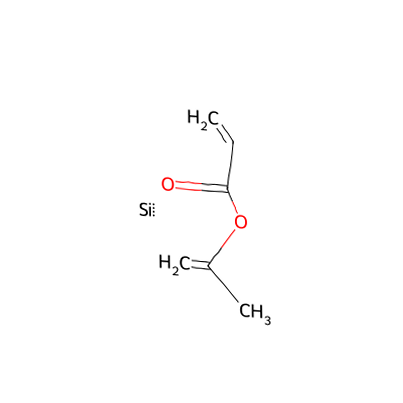 C=CC(=O)OC(=C)C.[Si]